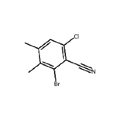 Cc1cc(Cl)c(C#N)c(Br)c1C